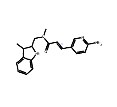 CC1c2ccccc2NC1CN(C)C(=O)/C=C/c1ccc(N)nc1